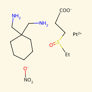 CCS(=O)CCC(=O)[O-].NCC1(CN)CCCCC1.O=[N+]([O-])[O-].[Pt+2]